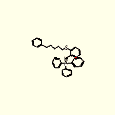 c1ccc(CCCCCSc2ccccc2C[PH](c2ccccc2)(c2ccccc2)c2ccccc2)cc1